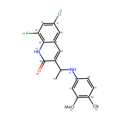 COc1cc(NC(C)c2cc3cc(Cl)cc(F)c3[nH]c2=O)ccc1C#N